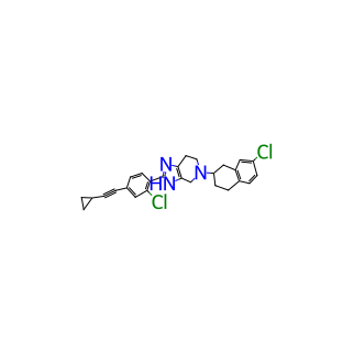 Clc1ccc2c(c1)CC(N1CCc3nc(-c4ccc(C#CC5CC5)cc4Cl)[nH]c3C1)CC2